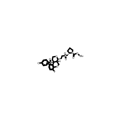 CC(C)(C)OC(=O)N1CCC[C@H]1CS(=O)(=O)CC[C@@H]1OCC[C@@]2(S(=O)(=O)c3ccc(Cl)cc3)c3c(F)ccc(F)c3OC[C@@H]12